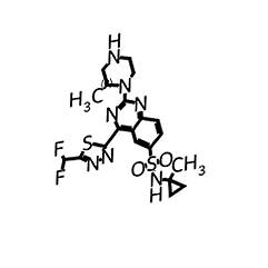 C[C@@H]1CNCCN1c1nc(-c2nnc(C(F)F)s2)c2cc(S(=O)(=O)NC3(C)CC3)ccc2n1